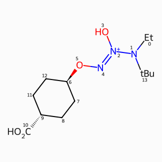 CCN(/[N+](O)=N/O[C@H]1CC[C@H](C(=O)O)CC1)C(C)(C)C